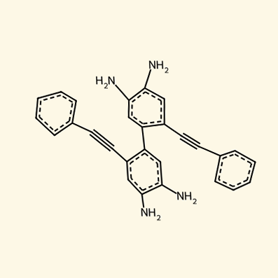 Nc1cc(C#Cc2ccccc2)c(-c2cc(N)c(N)cc2C#Cc2ccccc2)cc1N